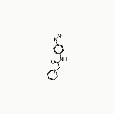 [N]=Nc1ccc(NC(=O)CN2C=CC=CC2)cc1